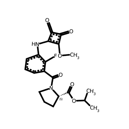 COc1c(Nc2cccc(C(=O)N3CCC[C@H]3C(=O)OC(C)C)c2F)c(=O)c1=O